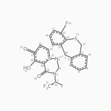 C[C@H](N1CN([C@H]2c3ccccc3CSc3c(F)cccc32)n2ccc(=O)c(O)c2C1=O)C(F)(F)F